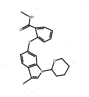 CNC(=O)c1ccccc1Sc1ccc2c(I)cn(C3CCCCO3)c2c1